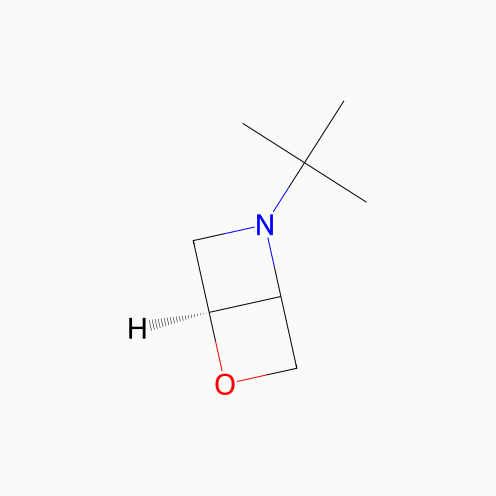 CC(C)(C)N1C[C@@H]2OCC21